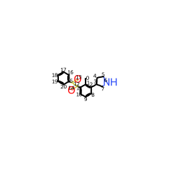 Cc1c(C2CCNC2)cccc1S(=O)(=O)c1ccccc1